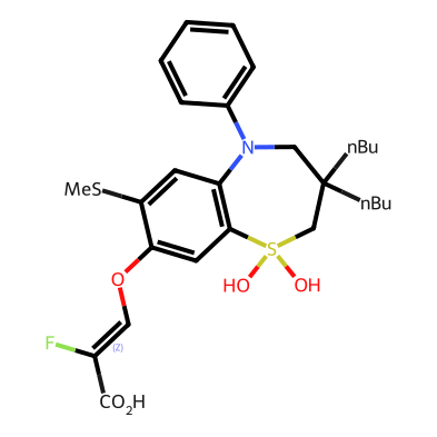 CCCCC1(CCCC)CN(c2ccccc2)c2cc(SC)c(O/C=C(\F)C(=O)O)cc2S(O)(O)C1